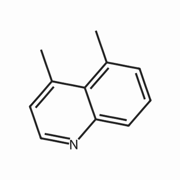 Cc1cccc2nccc(C)c12